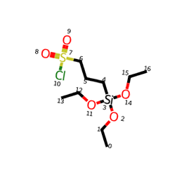 CCO[Si](CCCS(=O)(=O)Cl)(OCC)OCC